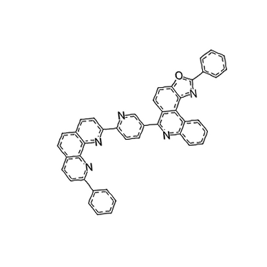 c1ccc(-c2ccc3ccc4ccc(-c5ccc(-c6nc7ccccc7c7c6ccc6oc(-c8ccccc8)nc67)cn5)nc4c3n2)cc1